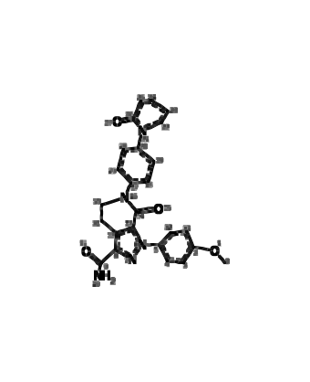 COc1ccc(-n2nc(C(N)=O)c3c2C(=O)N(c2ccc(-n4ccccc4=O)cc2)CC3)cc1